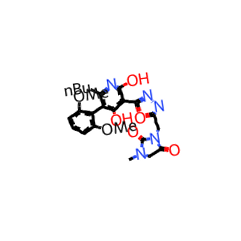 CCCCc1nc(O)c(-c2nnc(CN3C(=O)CN(C)C3=O)o2)c(O)c1-c1c(OC)cccc1OC